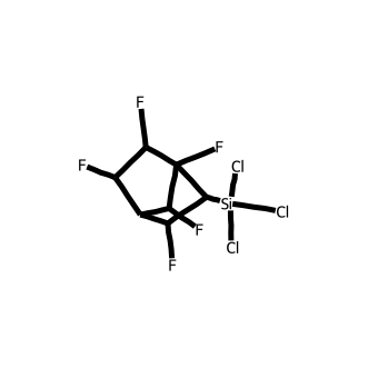 FC1C2C(F)C([Si](Cl)(Cl)Cl)C(F)(C1F)C2F